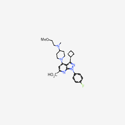 COCCN(C)C1CCN(c2cc(C(=O)O)nc3c2c(C2CCC2)nn3-c2ccc(F)cc2)CC1